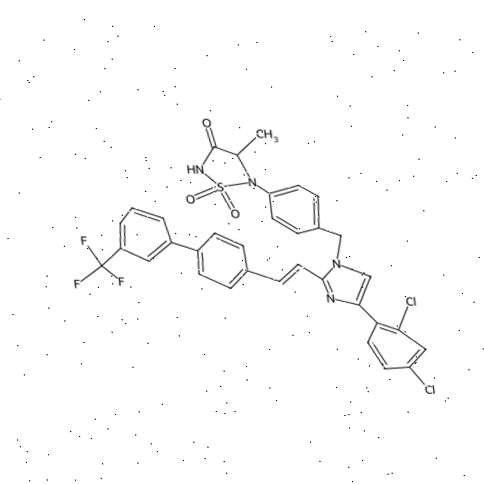 CC1C(=O)NS(=O)(=O)N1c1ccc(Cn2cc(-c3ccc(Cl)cc3Cl)nc2/C=C/c2ccc(-c3cccc(C(F)(F)F)c3)cc2)cc1